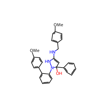 COc1ccc(CNC2=CC(O)(c3ccccc3)N(c3ccccc3-c3ccc(OC)cc3)N2)cc1